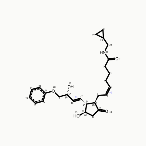 O=C(CCC/C=C\C[C@H]1C(=O)C[C@@H](O)[C@@H]1/C=C/[C@@H](O)COc1ccccc1)NCC1CC1